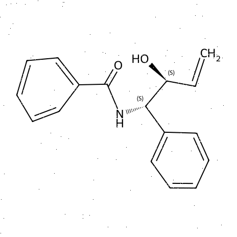 C=C[C@H](O)[C@@H](NC(=O)c1ccccc1)c1ccccc1